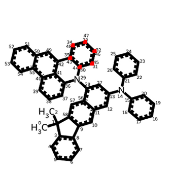 CC1(C)c2ccccc2-c2cc3cc(N(c4ccccc4)c4ccccc4)cc(N(c4ccccc4)c4cccc5c4c(-c4ccccc4)cc4ccccc45)c3cc21